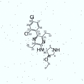 CCO[C@@H]1CNC[C@H]1Nc1nc(CC)c(-c2ccc(Cl)cc2Cl)nc1CC